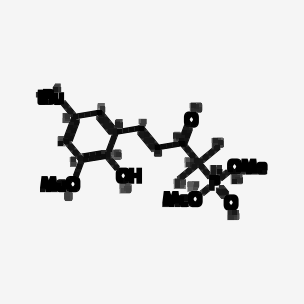 COc1cc(C(C)(C)C)cc(C=CC(=O)C(C)(C)P(=O)(OC)OC)c1O